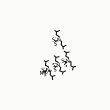 CC(C)CCN(CCC(C)C)C(=S)[S-].CC(C)CCN(CCC(C)C)C(=S)[S-].CC(C)CCN(CCC(C)C)C(=S)[S-].CC(C)CCN(CCC(C)C)C(=S)[S-].[Mo+4]